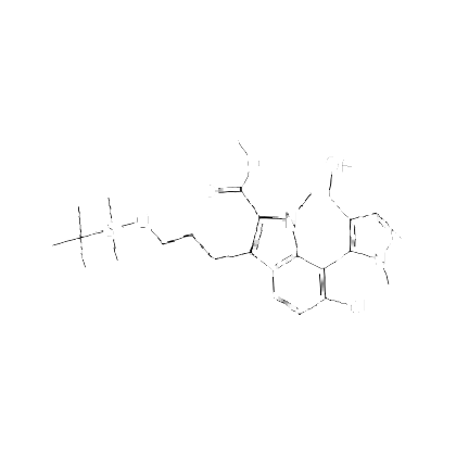 COC(=O)c1c(CCCO[Si](C)(C)C(C)(C)C)c2ccc(Cl)c(-c3c(CO)cnn3C)c2n1C